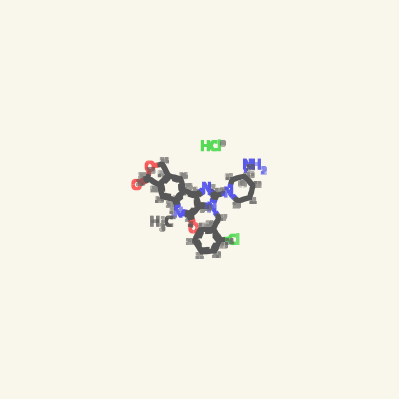 Cl.Cn1c(=O)c2c(nc(N3CCC[C@@H](N)C3)n2Cc2ccccc2Cl)c2cc3c(cc21)C(=O)OC3